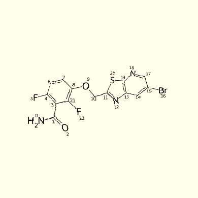 NC(=O)c1c(F)ccc(OCc2nc3cc(Br)cnc3s2)c1F